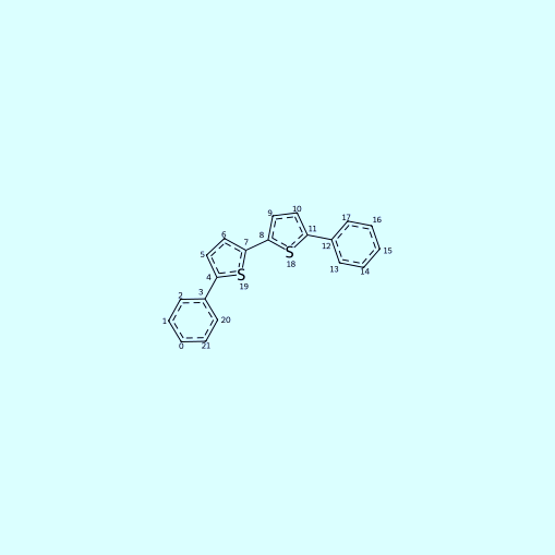 c1ccc(-c2ccc(-c3ccc(-c4ccccc4)s3)s2)cc1